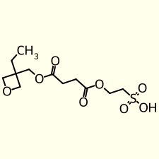 CCC1(COC(=O)CCC(=O)OCCS(=O)(=O)O)COC1